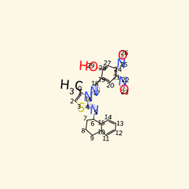 Cc1cs/c(=N\C2CCCC3C=CC=CC32)n1/N=C/c1cc(N=O)c(N=O)cc1O